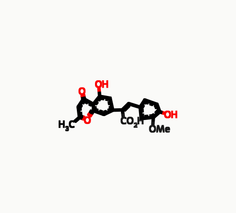 COc1cc(C=C(C(=O)O)c2cc(O)c3c(=O)cc(C)oc3c2)ccc1O